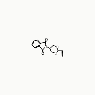 C=CC1OCC(N2C(=O)c3ccccc3C2=O)CO1